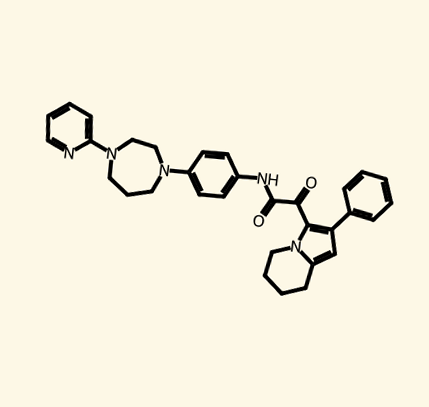 O=C(Nc1ccc(N2CCCN(c3ccccn3)CC2)cc1)C(=O)c1c(-c2ccccc2)cc2n1CCCC2